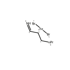 CCCCCC=N.[Br][Fe][Br]